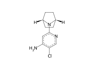 Nc1cc(N2[C@H]3CC[C@@H]2CC3)ncc1Cl